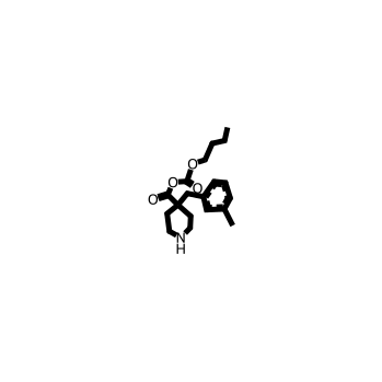 CCCCOC(=O)OC(=O)C1(Cc2cccc(C)c2)CCNCC1